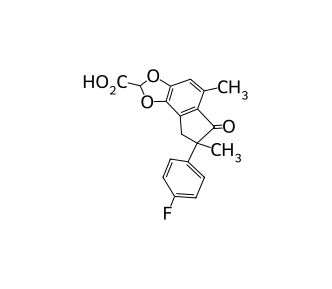 Cc1cc2c(c3c1C(=O)C(C)(c1ccc(F)cc1)C3)OC(C(=O)O)O2